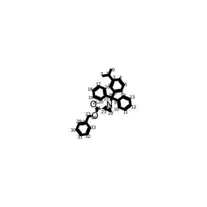 CC(C)c1cccc(C(c2ccccc2)(c2ccccc2)N2C[C@@H]2C(=O)OCc2ccccc2)c1